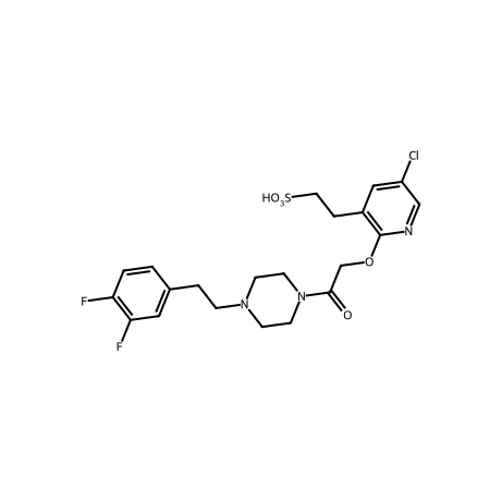 O=C(COc1ncc(Cl)cc1CCS(=O)(=O)O)N1CCN(CCc2ccc(F)c(F)c2)CC1